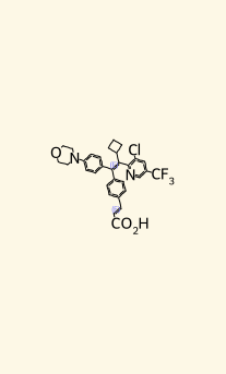 O=C(O)/C=C/c1ccc(/C(=C(\c2ncc(C(F)(F)F)cc2Cl)C2CCC2)c2ccc(N3CCOCC3)cc2)cc1